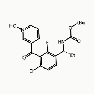 CC[C@@H](NC(=O)OC(C)(C)C)c1ccc(Cl)c(C(=O)c2ccc[n+](O)c2)c1F